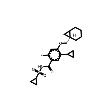 O=C(NS(=O)(=O)C1CC1)c1cc(C2CC2)c(OC[C@@]23CCCC[C@@H]2C3)cc1F